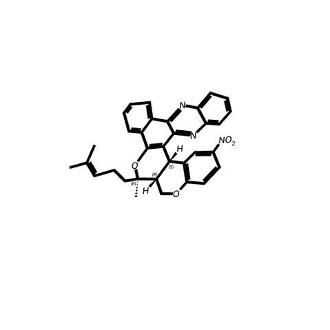 CC(C)=CCC[C@@]1(C)Oc2c(c3nc4ccccc4nc3c3ccccc23)[C@@H]2c3cc([N+](=O)[O-])ccc3OC[C@@H]21